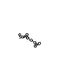 C1=CC2C(C=C1C1C=CC(C3CC=C4C(C3)c3ccccc3N4C3CCCCC3)=CC1)c1ccccc1N2c1ccc2sc3ccccc3c2c1